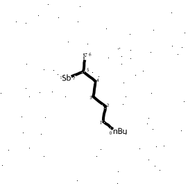 CCCCCCCC[CH](F)[Sb]